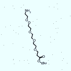 CC(C)(C)OC(=O)CCOCCOCCOCCOOCCN